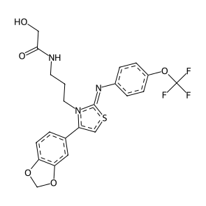 O=C(CO)NCCCn1c(-c2ccc3c(c2)OCO3)csc1=Nc1ccc(OC(F)(F)F)cc1